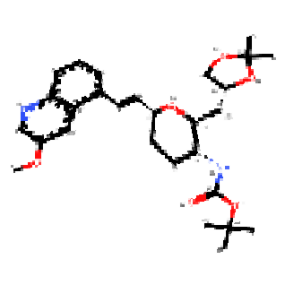 COc1cnc2cccc(C=C[C@@H]3CC[C@@H](NC(=O)OC(C)(C)C)[C@H](C[C@@H]4COC(C)(C)O4)O3)c2c1